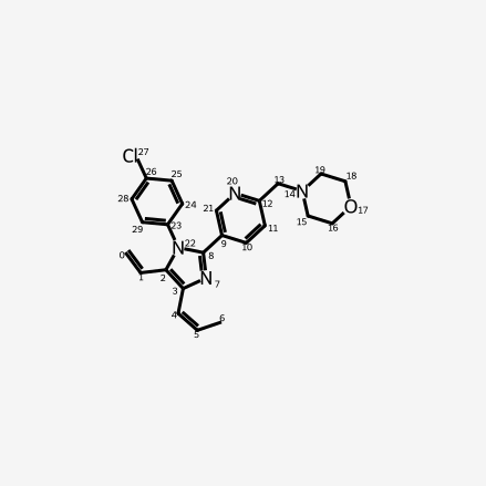 C=Cc1c(/C=C\C)nc(-c2ccc(CN3CCOCC3)nc2)n1-c1ccc(Cl)cc1